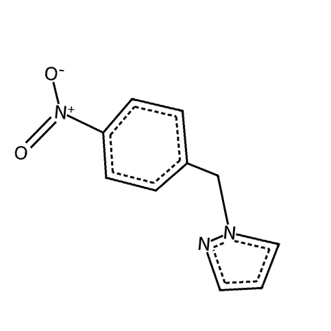 O=[N+]([O-])c1ccc(Cn2cccn2)cc1